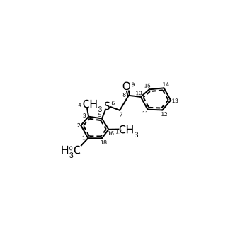 Cc1cc(C)c(SCC(=O)c2ccccc2)c(C)c1